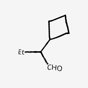 CCC(C=O)C1CCC1